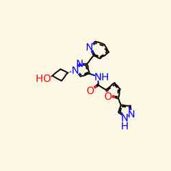 O=C(Nc1cn([C@H]2C[C@@H](O)C2)nc1-c1ccccn1)c1ccc(-c2cn[nH]c2)o1